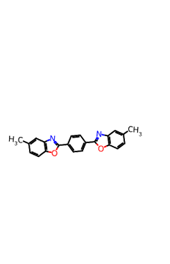 Cc1ccc2oc(-c3ccc(-c4nc5cc(C)ccc5o4)cc3)nc2c1